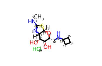 CNC1=N[C@@H]2[C@@H](O)[C@H](O)[C@@H](CNC3CCC3)O[C@@H]2S1.Cl